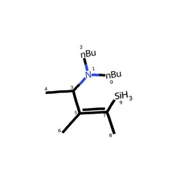 CCCCN(CCCC)C(C)C(C)=C(C)[SiH3]